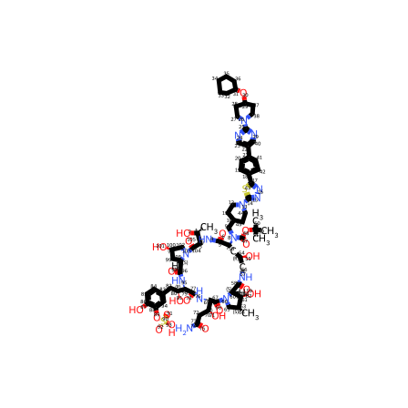 C[C@@H](O)[C@@H]1NC(=O)[C@@H](N(CC2CCN(c3nnc(-c4ccc(-c5cnc(N6CCC(OC7CCCCC7)CC6)nc5)cc4)s3)CC2)C(=O)OC(C)(C)C)C[C@@H](O)CNC(=O)[C@@H]2[C@@H](O)[C@@H](C)CN2C(=O)[C@H]([C@H](O)CC(N)=O)NC(=O)[C@H]([C@H](O)Cc2ccc(O)c(OS(=O)(=O)O)c2)NC(=O)[C@@H]2C[C@@H](O)CN2C1=O